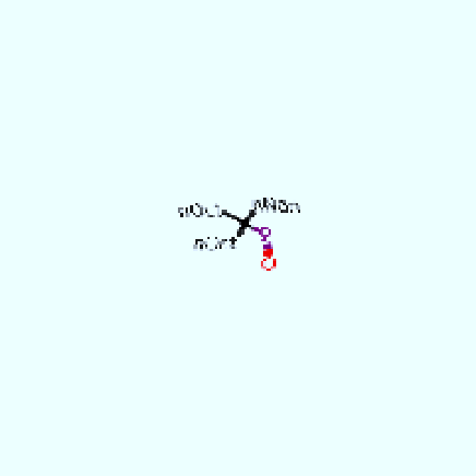 CCCCCCCCCC(CCCCCCCC)(CCCCCCCC)P=O